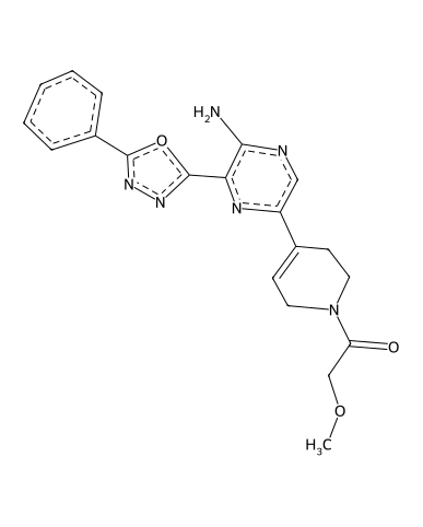 COCC(=O)N1CC=C(c2cnc(N)c(-c3nnc(-c4ccccc4)o3)n2)CC1